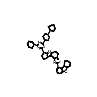 c1ccc(-c2ccc(-c3nc(-c4ccccc4)nc(-c4cccc5c4oc4ccc6sc(-c7cccc8oc9ccccc9c78)nc6c45)n3)cc2)cc1